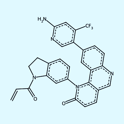 C=CC(=O)N1CCc2ccc(-n3c(=O)ccc4cnc5ccc(-c6cnc(N)cc6C(F)(F)F)cc5c43)cc21